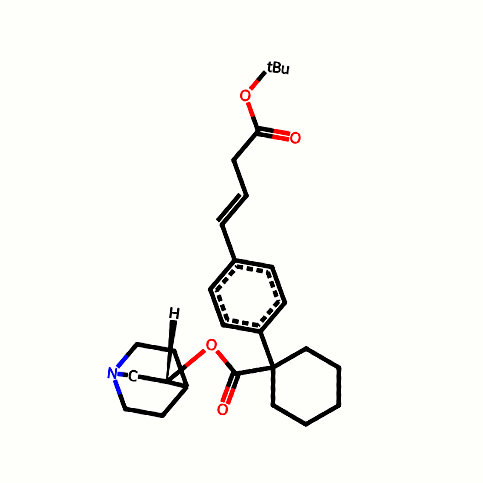 CC(C)(C)OC(=O)CC=Cc1ccc(C2(C(=O)O[C@H]3CN4CCC3CC4)CCCCC2)cc1